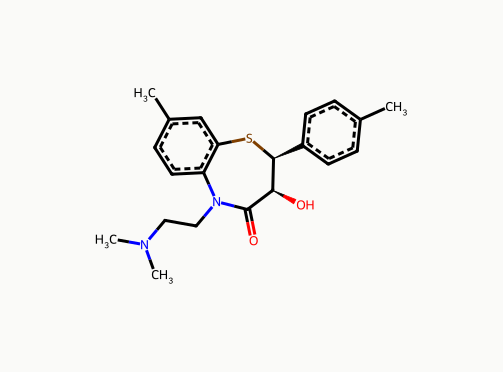 Cc1ccc([C@@H]2Sc3cc(C)ccc3N(CCN(C)C)C(=O)[C@@H]2O)cc1